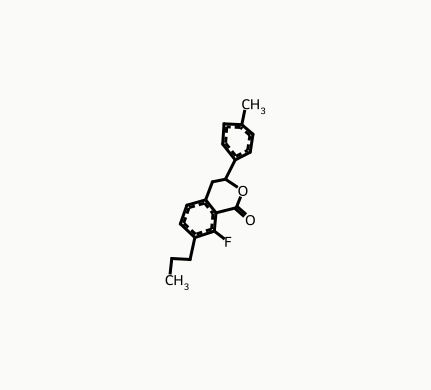 CCCc1ccc2c(c1F)C(=O)OC(c1ccc(C)cc1)C2